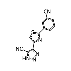 N#Cc1cccc(-c2nc(-c3nn[nH]c3C#N)cs2)c1